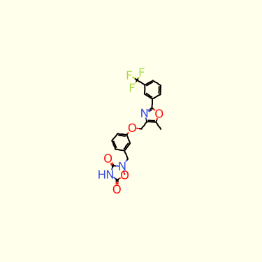 Cc1oc(-c2cccc(C(F)(F)F)c2)nc1COc1cccc(Cn2oc(=O)[nH]c2=O)c1